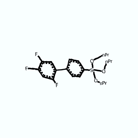 CCCO[Si](OCCC)(OCCC)c1ccc(-c2cc(F)c(F)cc2F)cc1